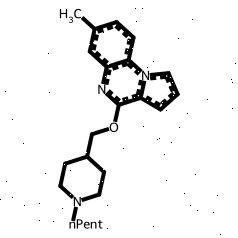 CCCCCN1CCC(COc2nc3cc(C)ccc3n3cccc23)CC1